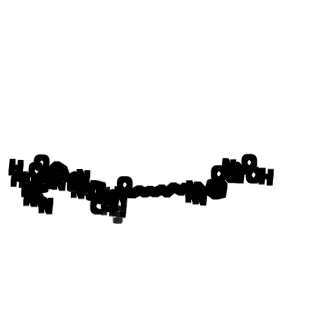 C[C@@H]1CN(c2ncc(-c3ccc4c(n3)N(Cc3cccnc3C#N)C(C)(C)C4=O)cn2)CCN1C(=O)CNC(=O)CCCCCCCCCCn1cc(-c2cccc(Oc3ccc(C(=O)O)cn3)c2)nn1